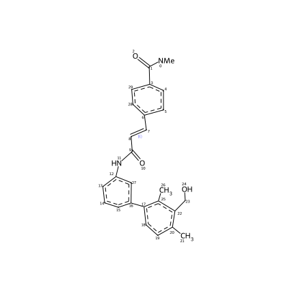 CNC(=O)c1ccc(/C=C/C(=O)Nc2cccc(-c3ccc(C)c(CO)c3C)c2)cc1